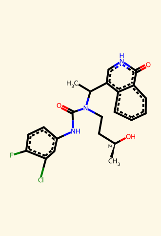 CC(c1c[nH]c(=O)c2ccccc12)N(CC[C@H](C)O)C(=O)Nc1ccc(F)c(Cl)c1